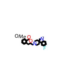 COc1cccc2c1C(=O)OC(CN1CCC3(CC1)CN(C)c1ccc(F)cc13)C2